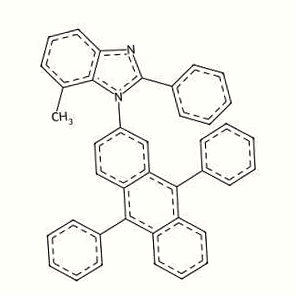 Cc1cccc2nc(-c3ccccc3)n(-c3ccc4c(-c5ccccc5)c5ccccc5c(-c5ccccc5)c4c3)c12